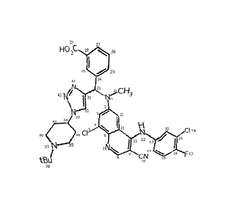 CN(c1cc(Cl)c2ncc(C#N)c(Nc3ccc(F)c(Cl)c3)c2c1)C(c1cccc(C(=O)O)c1)c1cn(C2CCN(C(C)(C)C)CC2)nn1